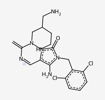 C=C(/N=C\c1[nH]c(=O)n(Cc2c(Cl)cccc2Cl)c1N)N1CCCC(CN)C1